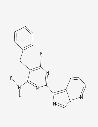 Fc1nc(-c2ncn3ncccc23)nc(N(F)F)c1Cc1ccccc1